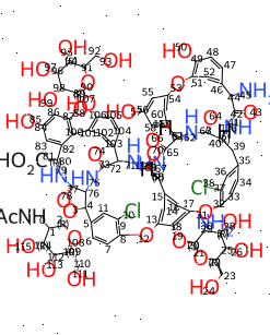 CC(=O)NC1[C@H](OC2c3ccc(c(Cl)c3)Oc3cc4cc(c3O[C@@H]3O[C@H](CO)C(O)[C@H](O)C3N)Oc3ccc(cc3Cl)C[C@H]3NC(=O)C(N)c5ccc(O)c(c5)Oc5cc(O)cc(c5)[C@H](NC3=O)C(=O)N[C@H]4C(=O)NC3C(=O)NC2C(=O)N[C@@H](C(=O)O)c2cc(O)cc(O[C@H]4OC(CO)[C@@H](O)C(O)C4O)c2-c2cc3ccc2O)O[C@H](CO)C(O)[C@@H]1O